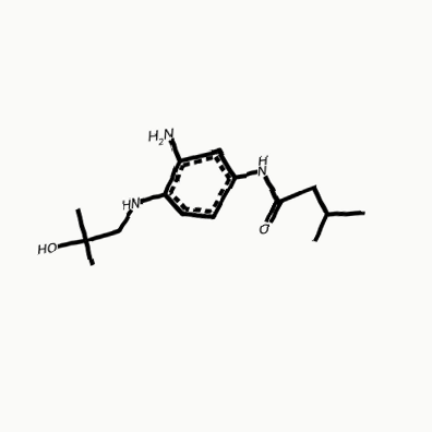 CC(C)CC(=O)Nc1ccc(NCC(C)(C)O)c(N)c1